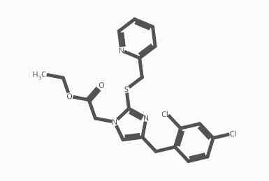 CCOC(=O)Cn1cc(Cc2ccc(Cl)cc2Cl)nc1SCc1ccccn1